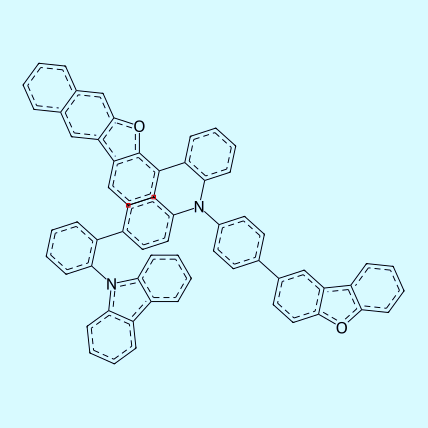 c1ccc(N(c2ccc(-c3ccc4oc5ccccc5c4c3)cc2)c2ccc(-c3ccccc3-n3c4ccccc4c4ccccc43)cc2)c(-c2cccc3c2oc2cc4ccccc4cc23)c1